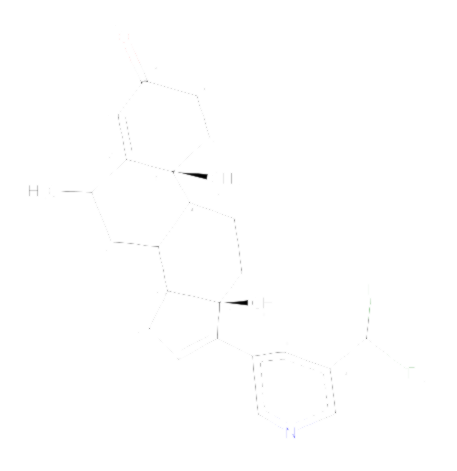 CC1CC2C(CC[C@]3(C)C(c4cncc(C(F)F)c4)=CCC23)[C@@]2(C)CCC(=O)C=C12